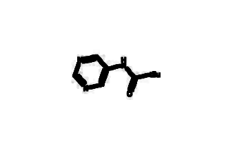 CC(C)(C)C(=O)Nc1cncnc1